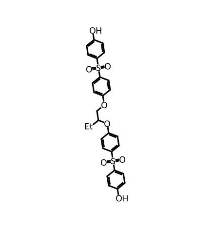 CCC(COc1ccc(S(=O)(=O)c2ccc(O)cc2)cc1)Oc1ccc(S(=O)(=O)c2ccc(O)cc2)cc1